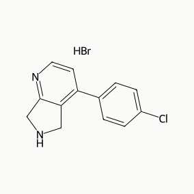 Br.Clc1ccc(-c2ccnc3c2CNC3)cc1